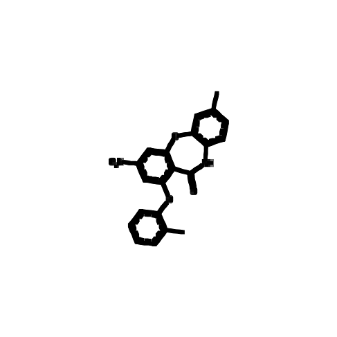 Cc1ccc2c(c1)Oc1cc([N+](=O)[O-])cc(Oc3ccccc3C)c1C(=O)N2